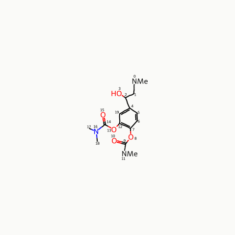 CNCC(O)c1ccc(OC(=O)NC)c(OC(=O)N(C)C)c1